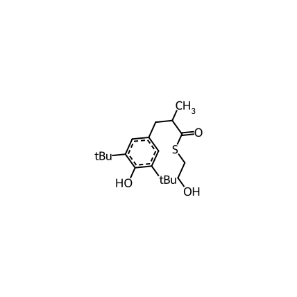 CC(Cc1cc(C(C)(C)C)c(O)c(C(C)(C)C)c1)C(=O)SCCO